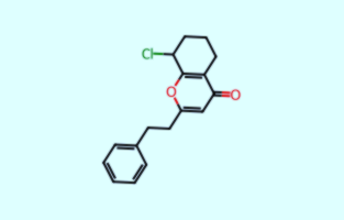 O=c1cc(CCc2ccccc2)oc2c1CCCC2Cl